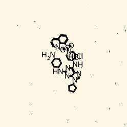 Cl.Cl.N[C@H]1CC[C@H](Nc2nc(NC3CCN(S(=O)(=O)c4cccc5cccnc45)CC3)c3ncn(C4CCCC4)c3n2)CC1